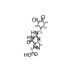 O=C(O)Cn1ncc2nc(NCc3ccc(Cl)c(Cl)c3)[nH]c(=O)c21